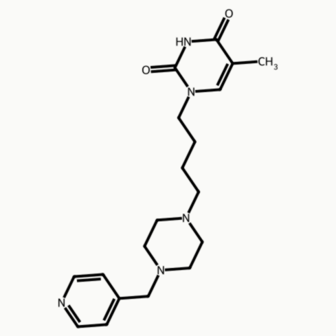 Cc1cn(CCCCN2CCN(Cc3ccncc3)CC2)c(=O)[nH]c1=O